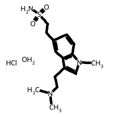 CN(C)CCc1cn(C)c2ccc(CCS(N)(=O)=O)cc12.Cl.O